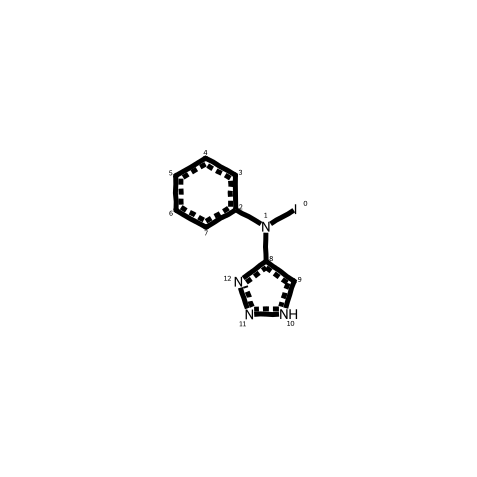 IN(c1ccccc1)c1c[nH]nn1